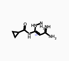 N=C(N)/C=C(\NN)NC(=O)C1CC1